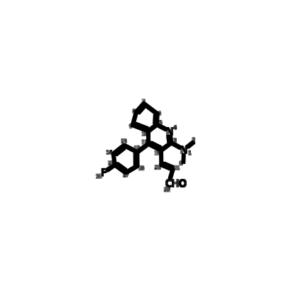 CN(C)c1nc2ccccc2c(-c2ccc(F)cc2)c1C=CC=O